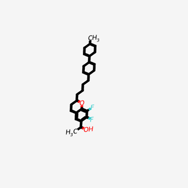 CC1CCC(C2CCC(CCCCC3CCc4cc(C(C)O)c(F)c(F)c4O3)CC2)CC1